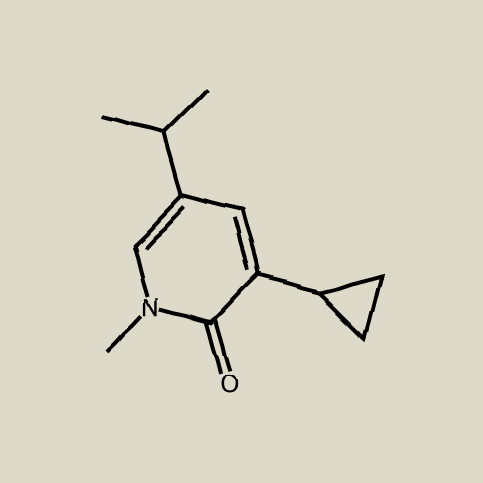 CC(C)c1cc(C2CC2)c(=O)n(C)c1